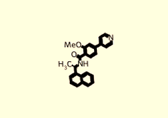 COc1cc(-c2ccncc2)ccc1C(=O)N[C@H](C)c1cccc2ccccc12